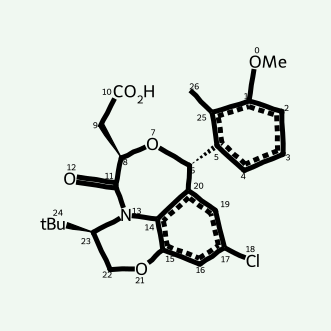 COc1cccc([C@H]2O[C@H](CC(=O)O)C(=O)N3c4c(cc(Cl)cc42)OC[C@H]3C(C)(C)C)c1C